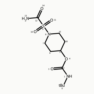 CC(C)(C)NC(=O)OC1CCN(S(=O)(=O)C(N)=O)CC1